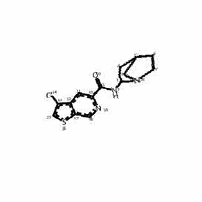 O=C(NC1CC2CCN1C2)c1cc2c(Cl)csc2cn1